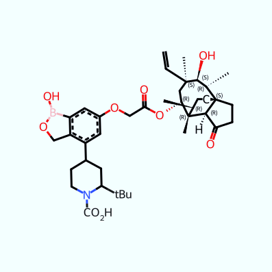 C=C[C@]1(C)C[C@@H](OC(=O)COc2cc3c(c(C4CCN(C(=O)O)C(C(C)(C)C)C4)c2)COB3O)[C@]2(C)[C@H](C)CC[C@]3(CCC(=O)[C@H]32)[C@@H](C)[C@@H]1O